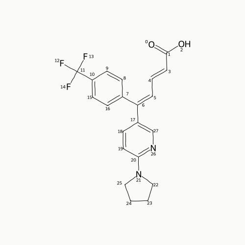 O=C(O)/C=C/C=C(\c1ccc(C(F)(F)F)cc1)c1ccc(N2CCCC2)nc1